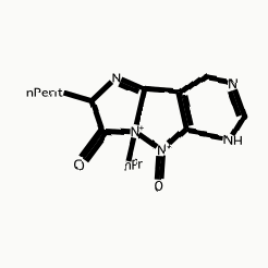 CCCCCC1N=C2C3=C(NC=NC3)[N+](=O)[N+]2(CCC)C1=O